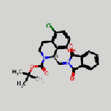 CC(C)(C)OC(=O)N1CCc2c(Cl)ccc(O)c2[C@H]1CN1C(=O)c2ccccc2C1=O